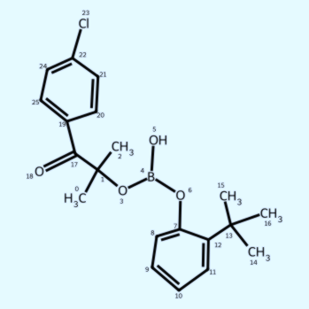 CC(C)(OB(O)Oc1ccccc1C(C)(C)C)C(=O)c1ccc(Cl)cc1